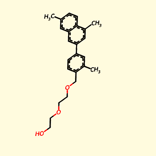 Cc1ccc2c(C)cc(-c3ccc(COCCOCCO)c(C)c3)cc2c1